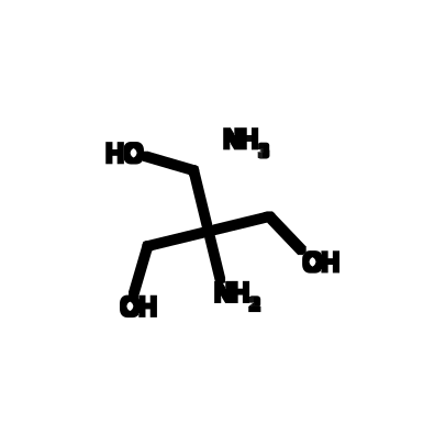 N.NC(CO)(CO)CO